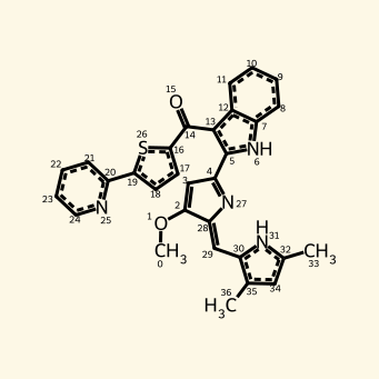 COC1=CC(c2[nH]c3ccccc3c2C(=O)c2ccc(-c3ccccn3)s2)=NC1=Cc1[nH]c(C)cc1C